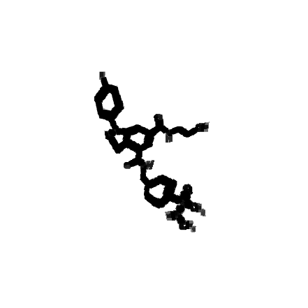 C=S(=O)(NC)c1ccc(CNC(=O)c2cc(C(=O)NCCO)cc3c2cnn3-c2ccc(F)cc2)cc1